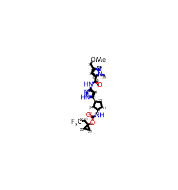 COCc1cc(C(=O)Nc2cc([C@H]3CC[C@@H](NC(=O)OC4(CC(F)(F)F)CC4)C3)[nH]n2)n(C)n1